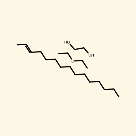 C/C=C/CCCCCCCCCCCC.CCOCC.OCCO